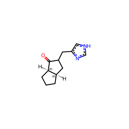 O=C1C(Cc2c[nH]cn2)C[C@H]2CCC[C@@H]12